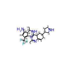 CC1=NC2=CCC(C3CCNC3)CC2C(NC(C)C2C=C(C(F)(F)F)C=C2N)=N1